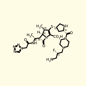 C[C@@H](NC(=O)Cn1cnnn1)[C@H]1C(=O)N2C(C(=O)O)=C(S[C@@H]3CN[C@H](C(=O)N4CCN(C[C@@H](F)CN)CC4)C3)[C@H](C)[C@H]12